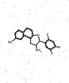 N#Cc1ccc2ccc3c(c2c1)CC(N)C(c1cc(F)c(F)cc1F)O3